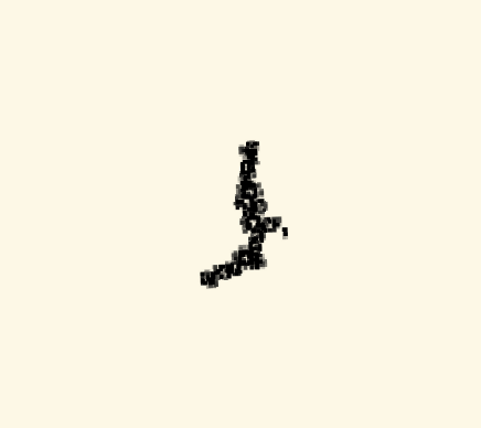 O=C(Oc1ccc(OCOc2ccc(OCOCC3CO3)cc2F)c(C(F)(F)F)c1)c1ccc(OCOCC2CO2)cc1F